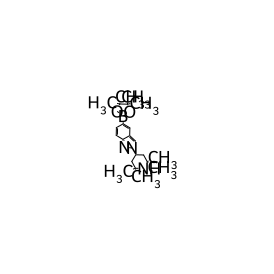 CC1(C)CC(n2cc3cc(B4OC(C)(C)C(C)(C)O4)ccc3n2)CC(C)(C)N1